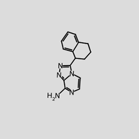 Nc1nccn2c(C3CCCc4ccccc43)nnc12